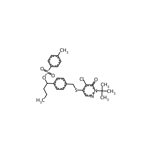 CCCC(OS(=O)(=O)c1ccc(C)cc1)c1ccc(CSc2cnn(C(C)(C)C)c(=O)c2Cl)cc1